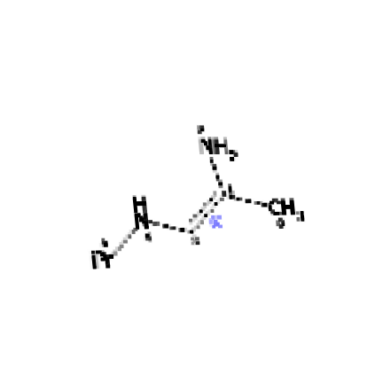 C/C(N)=C/NC(C)C